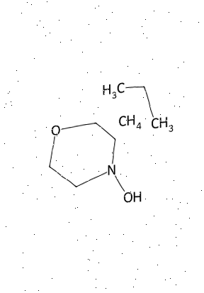 C.CCC.ON1CCOCC1